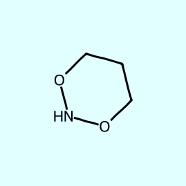 C1CONOC1